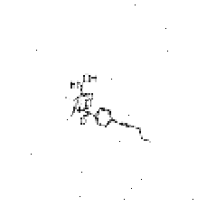 CCCC#Cc1ccc(S(=O)(=O)N(C)[C@H](C)C(=O)NO)cc1